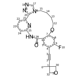 CC1(C#Cc2cc3c(cc2F)OCCCCn2cnnc2-c2cccc(n2)NC3=O)COC1